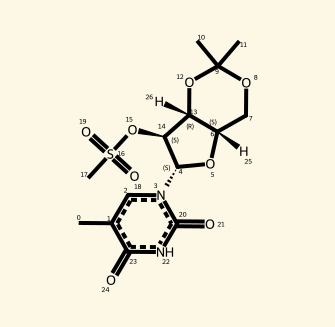 Cc1cn([C@H]2O[C@H]3COC(C)(C)O[C@H]3[C@@H]2OS(C)(=O)=O)c(=O)[nH]c1=O